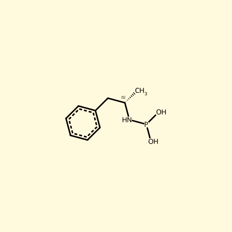 C[C@@H](Cc1ccccc1)NP(O)O